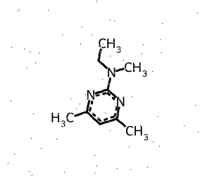 CCN(C)c1nc(C)cc(C)n1